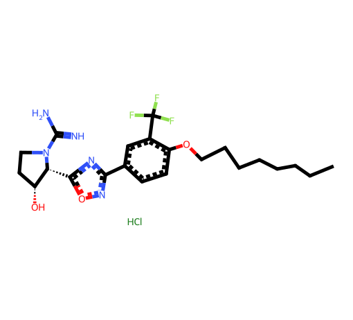 CCCCCCCCOc1ccc(-c2noc([C@@H]3[C@H](O)CCN3C(=N)N)n2)cc1C(F)(F)F.Cl